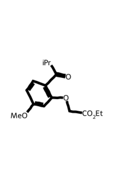 CCOC(=O)COc1cc(OC)ccc1C(=O)C(C)C